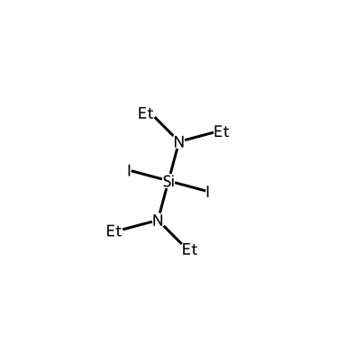 CCN(CC)[Si](I)(I)N(CC)CC